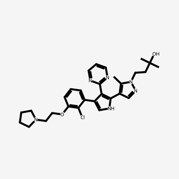 Cc1c(-c2[nH]cc(-c3cccc(OCCN4CCCC4)c3Cl)c2-c2ncccn2)cnn1CCC(C)(C)O